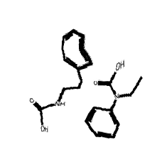 CCN(C(=O)O)c1ccccc1.O=C(O)NCCc1ccccc1